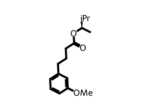 COc1cccc(CCCC(=O)O[C@H](C)C(C)C)c1